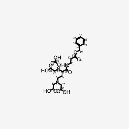 O=C(O)CN(CC[C@H](C(=O)NCCC(=O)OCc1ccccc1)N(CC(=O)O)OC(=O)O)CC(=O)O